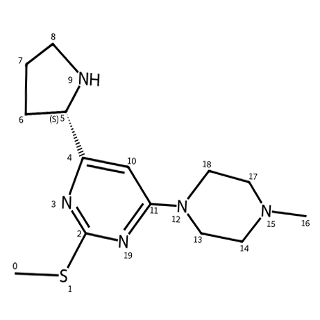 CSc1nc([C@@H]2CCCN2)cc(N2CCN(C)CC2)n1